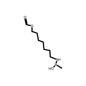 CB(O)NCCCCCCCOC=O